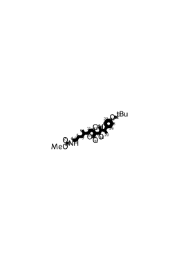 COC(=O)N/C=C/CCC(C)c1cc(O)c(C(=O)C(C)C(C)c2ccc(OCC(C)(C)C)cc2)c(=O)o1